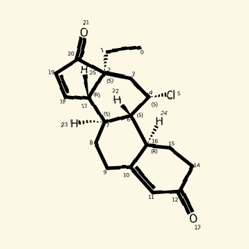 CC[C@]12C[C@H](Cl)[C@H]3[C@@H](CCC4=CC(=O)CC[C@@H]43)[C@@H]1C=CC2=O